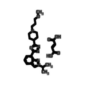 COCCCN1CCC(c2nnc(-c3cccc4cn(C(C)C)nc34)o2)CC1.O=C(O)/C=C/C(=O)O